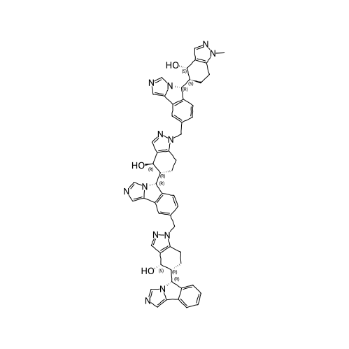 Cn1ncc2c1CC[C@@H]([C@@H]1c3ccc(Cn4ncc5c4CC[C@H]([C@@H]4c6ccc(Cn7ncc8c7CC[C@H]([C@@H]7c9ccccc9-c9cncn97)[C@@H]8O)cc6-c6cncn64)[C@H]5O)cc3-c3cncn31)[C@@H]2O